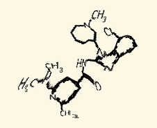 Cc1cc(C(=O)Nc2nc3cccc(Cl)c3n2C2CCCCN(C)C2)cc(P(C)C)n1